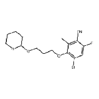 N#Cc1c(F)cc(Cl)c(OCCCOC2CCCCO2)c1I